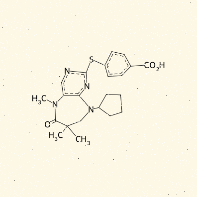 CN1C(=O)C(C)(C)CN(C2CCCC2)c2nc(Sc3ccc(C(=O)O)cc3)ncc21